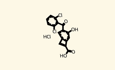 Cl.O=C(O)C1=Cc2cc(C(=O)c3c(Cl)cccc3Cl)c(O)cc21